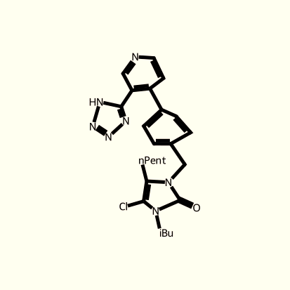 CCCCCc1c(Cl)n(C(C)CC)c(=O)n1Cc1ccc(-c2ccncc2-c2nnn[nH]2)cc1